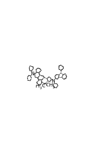 CC1(C)c2cc(N(c3ccccc3)c3ccc4c(c3)-c3ccccc3C4c3ccccc3)ccc2-c2cc3c4ccccc4c(N(c4ccccc4)c4ccccc4)cc3c3cccc1c23